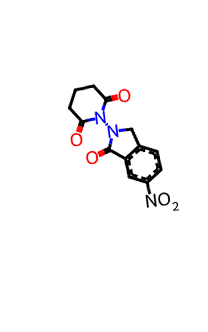 O=C1c2cc([N+](=O)[O-])ccc2CN1N1C(=O)CCCC1=O